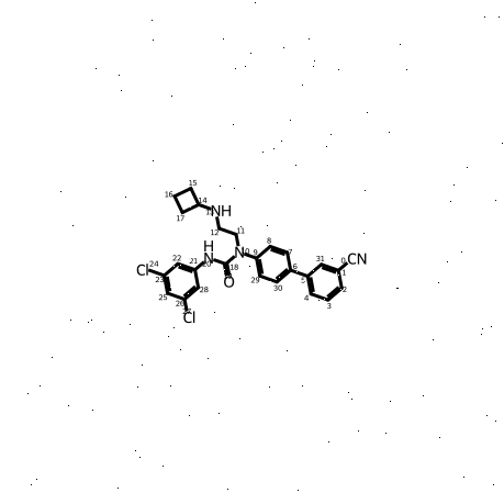 N#Cc1cccc(-c2ccc(N(CCNC3CCC3)C(=O)Nc3cc(Cl)cc(Cl)c3)cc2)c1